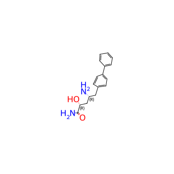 NC(=O)[C@H](O)C[C@H](N)Cc1ccc(-c2ccccc2)cc1